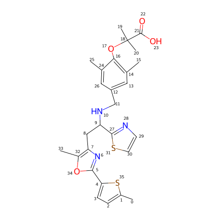 Cc1ccc(-c2nc(CC(NCc3cc(C)c(OC(C)(C)C(=O)O)c(C)c3)c3nccs3)c(C)o2)s1